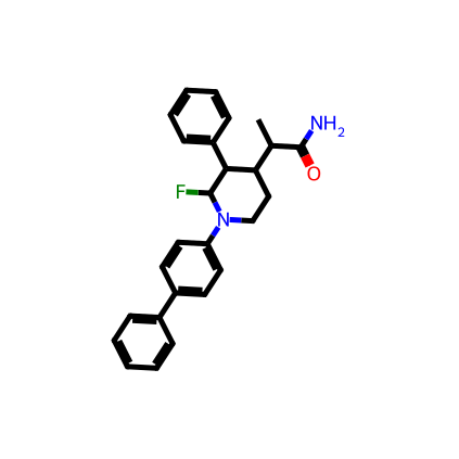 CC(C(N)=O)C1CCN(c2ccc(-c3ccccc3)cc2)C(F)C1c1ccccc1